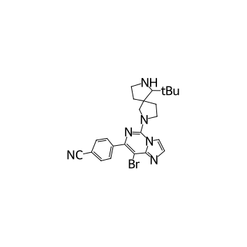 CC(C)(C)C1NCCC12CCN(c1nc(-c3ccc(C#N)cc3)c(Br)c3nccn13)C2